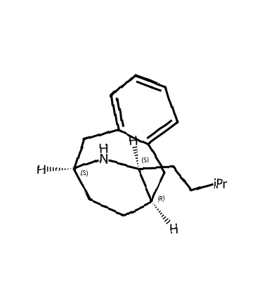 CC(C)CC[C@@H]1N[C@H]2CC[C@@H]1Cc1ccccc1C2